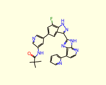 CC(C)(C)C(=O)Nc1cncc(-c2cc(F)c3[nH]nc(-c4nc5c(-c6ccccn6)ccnc5[nH]4)c3c2)c1